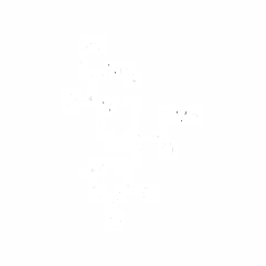 COC(=O)C1(Cc2cccc(Cl)c2Cl)CCN(C(=O)[C@@H](N)CS)CC1